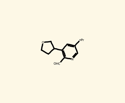 CCCc1cnc(C=O)c(C2CCOC2)c1